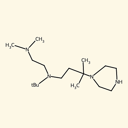 CN(C)CCN(CCC(C)(C)N1CCNCC1)C(C)(C)C